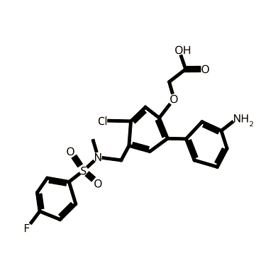 CN(Cc1cc(-c2cccc(N)c2)c(OCC(=O)O)cc1Cl)S(=O)(=O)c1ccc(F)cc1